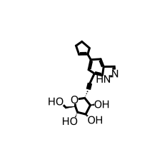 OC[C@H]1O[C@H](C#Cc2cc(C3=CCCC3)cc3cn[nH]c23)[C@@H](O)[C@@H](O)[C@@H]1O